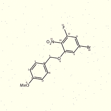 COc1ccc(COc2cc(Br)cc(F)c2[N+](=O)[O-])cc1